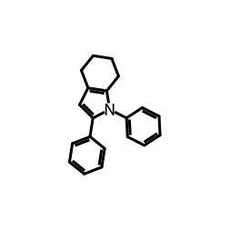 c1ccc(-c2cc3c(n2-c2ccccc2)CCCC3)cc1